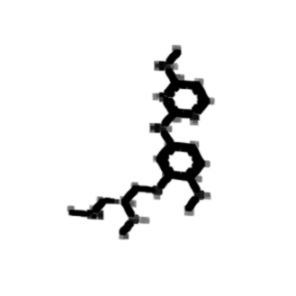 CNC[C@H](COc1cc(Nc2nccc(NC)n2)ccc1OC)OC